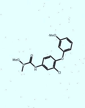 COc1cccc(Oc2ccc(NC(=O)N(C)OC)cc2Cl)c1